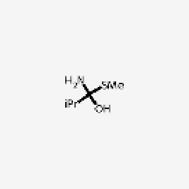 CSC(N)(O)C(C)C